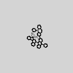 CC1(C)c2ccccc2-c2c1cc(-c1c3ccccc3c(-c3ccccc3)c3ccc(-c4ccc5c(c4)C=CC4C=CC=CC4N5c4ccccc4)cc13)c1ccccc21